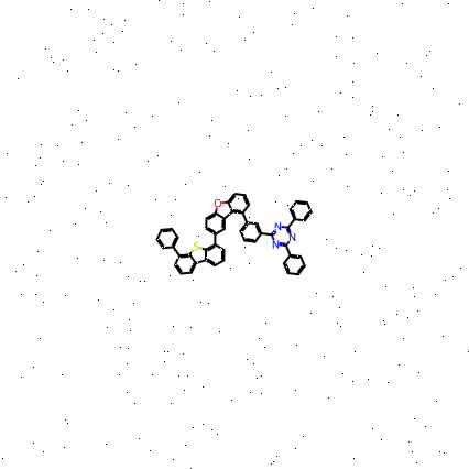 c1ccc(-c2nc(-c3ccccc3)nc(-c3cccc(-c4cccc5oc6ccc(-c7cccc8c7sc7c(-c9ccccc9)cccc78)cc6c45)c3)n2)cc1